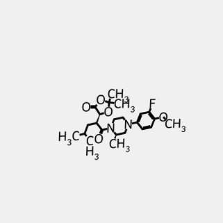 COc1ccc(N2CCN(C(=O)C(CC(C)C)[C@@H]3OC(C)(C)OC3=O)[C@H](C)C2)cc1F